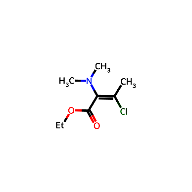 CCOC(=O)C(=C(C)Cl)N(C)C